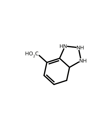 O=C(O)C1=C2NNNC2CC=C1